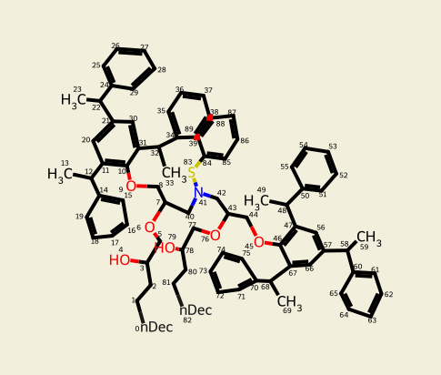 CCCCCCCCCCCCC(O)COC(COc1c(C(C)c2ccccc2)cc(C(C)c2ccccc2)cc1C(C)c1ccccc1)CN(CC(COc1c(C(C)c2ccccc2)cc(C(C)c2ccccc2)cc1C(C)c1ccccc1)OCC(O)CCCCCCCCCCCC)Sc1ccccc1